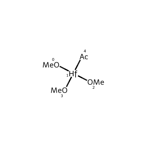 C[O][Hf]([O]C)([O]C)[C](C)=O